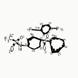 O=S(=O)(N[C@H]1CC[C@@](c2cc(F)ccc2F)(S(=O)(=O)c2ccccc2)CC1)C(F)(F)F